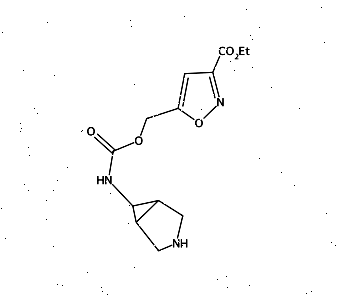 CCOC(=O)c1cc(COC(=O)NC2C3CNCC32)on1